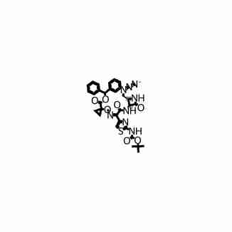 CC(C)(C)OC(=O)Nc1nc(C(=NOC2(C(=O)OC(c3ccccc3)c3ccccc3)CC2)C(=O)N[C@@H]2C(=O)N[C@@H]2CN=[N+]=[N-])cs1